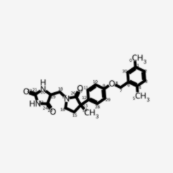 Cc1ccc(C)c(COc2ccc(C3(C)CCN(CC4NC(=O)NC4=O)C3=O)cc2)c1